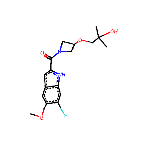 COc1cc2cc(C(=O)N3CC(OCC(C)(C)O)C3)[nH]c2cc1F